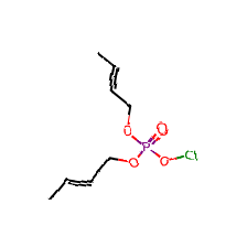 CC=CCOP(=O)(OCl)OCC=CC